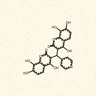 O=c1oc2c(O)c(O)ccc2c(O)c1C(c1ccncc1)c1c(O)c2ccc(O)c(O)c2oc1=O